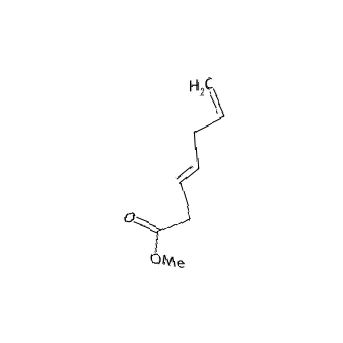 C=CCC=CCC(=O)OC